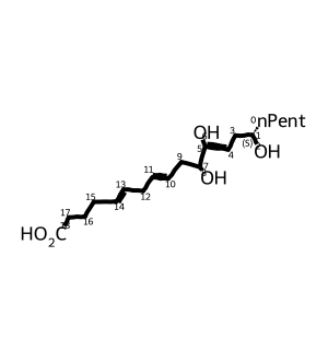 CCCCC[C@H](O)CC=C(O)C(O)CC=CCC=CCCCC(=O)O